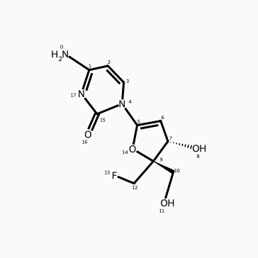 Nc1ccn(C2=C[C@H](O)[C@](CO)(CF)O2)c(=O)n1